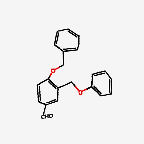 O=Cc1ccc(OCc2ccccc2)c(COc2ccccc2)c1